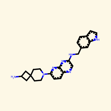 NC1CC2(CCN(c3ccc4ncc(NCc5ccc6cc[nH]c6c5)nc4n3)CC2)C1